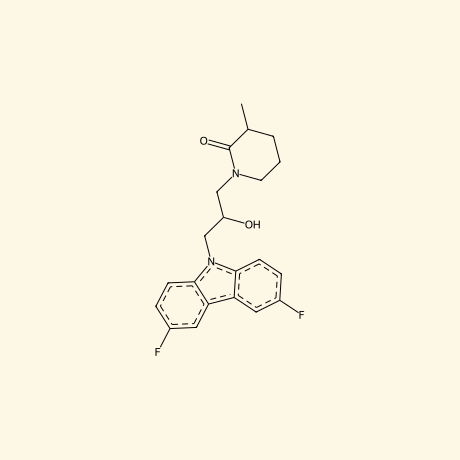 CC1CCCN(CC(O)Cn2c3ccc(F)cc3c3cc(F)ccc32)C1=O